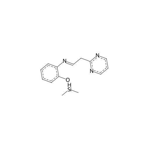 C[SiH](C)Oc1ccccc1N=CCc1ncccn1